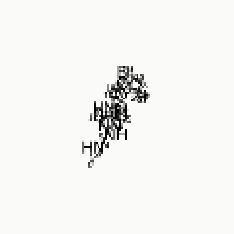 CCCNCCNc1nc(OC)c(NC(=O)c2ccc(Oc3cc([Si](C)(C)C)ccc3Br)o2)c(OC)n1